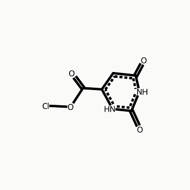 O=C(OCl)c1cc(=O)[nH]c(=O)[nH]1